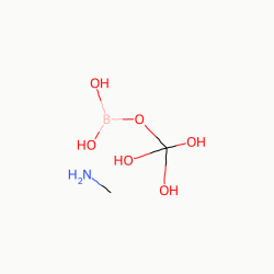 CN.OB(O)OC(O)(O)O